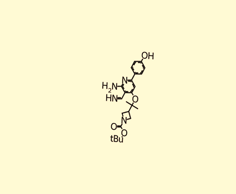 CC(C)(C)OC(=O)N1CC(C(C)(C)Oc2cc(-c3ccc(O)cc3)nc(N)c2C=N)C1